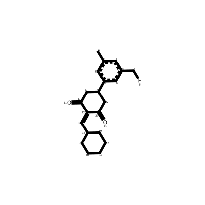 Cc1cc(CF)cc(C2CC(=O)C(=CC3CCCCC3)C(=O)C2)c1